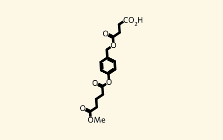 COC(=O)CCCC(=O)Oc1ccc(COC(=O)CCC(=O)O)cc1